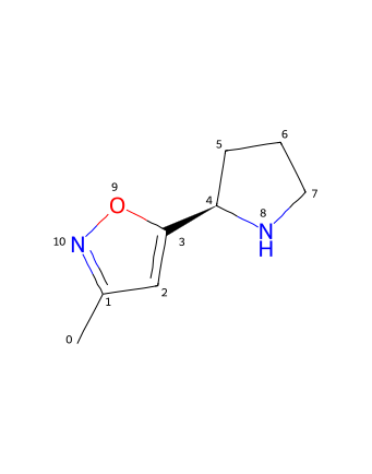 Cc1cc([C@H]2CCCN2)on1